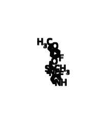 CC1=C(COc2cc3cc(C)oc3cc2F)SCN1C1CCNCC1(F)F